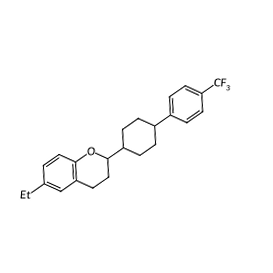 CCc1ccc2c(c1)CCC(C1CCC(c3ccc(C(F)(F)F)cc3)CC1)O2